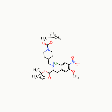 COc1cc(CC(NCC2CCN(C(=O)OC(C)(C)C)CC2)C(=O)OC(C)(C)C)c(Cl)cc1[N+](=O)[O-]